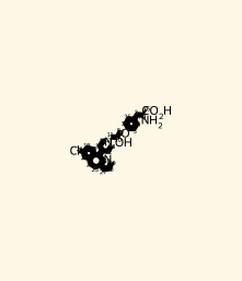 N[C@@H](Cc1ccc(OCC(O)CN2CCC(=C3c4ccc(Cl)cc4CCc4cccnc43)CC2)cc1)C(=O)O